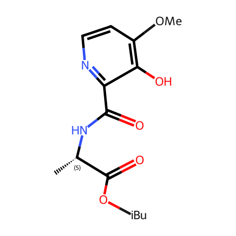 CCC(C)OC(=O)[C@H](C)NC(=O)c1nccc(OC)c1O